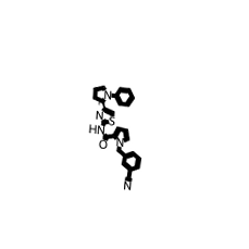 N#Cc1cccc(Cn2cccc2C(=O)Nc2nc([C@H]3CCCN3c3ccccc3)cs2)c1